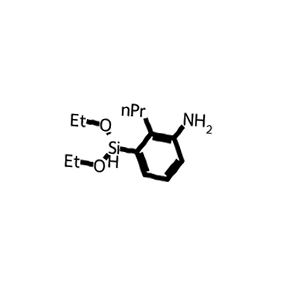 CCCc1c(N)cccc1[SiH](OCC)OCC